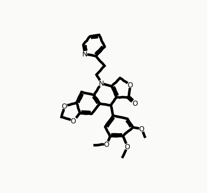 COc1cc(C2C3=C(COC3=O)N(CCc3ccccn3)c3cc4c(cc32)OCO4)cc(OC)c1OC